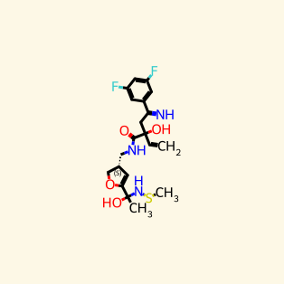 C=CC(O)(CC(=N)c1cc(F)cc(F)c1)C(=O)NC[C@@H]1C=C(C(C)(O)NSC)OC1